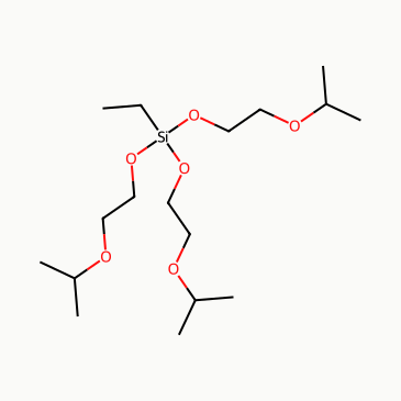 CC[Si](OCCOC(C)C)(OCCOC(C)C)OCCOC(C)C